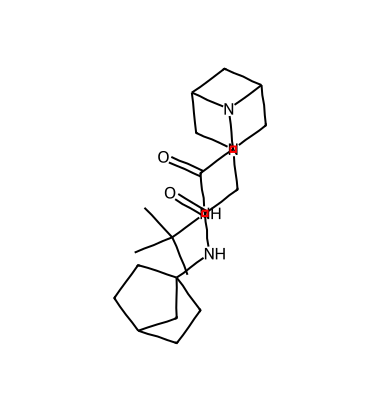 CC(C)(C)NC(=O)CN1C2CC1CN(CC(=O)NC13CCC(CC1)C3)C2